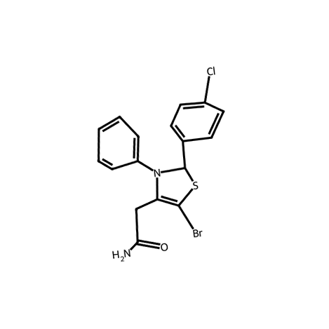 NC(=O)CC1=C(Br)SC(c2ccc(Cl)cc2)N1c1ccccc1